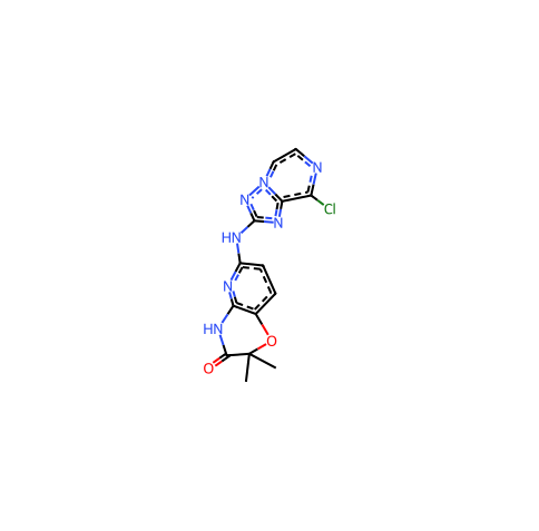 CC1(C)Oc2ccc(Nc3nc4c(Cl)nccn4n3)nc2NC1=O